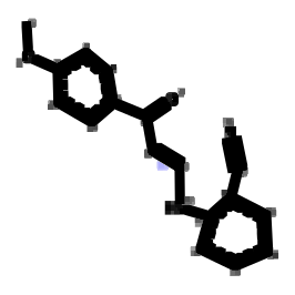 COc1ccc(C(=O)/C=C/Nc2ccccc2C#N)cc1